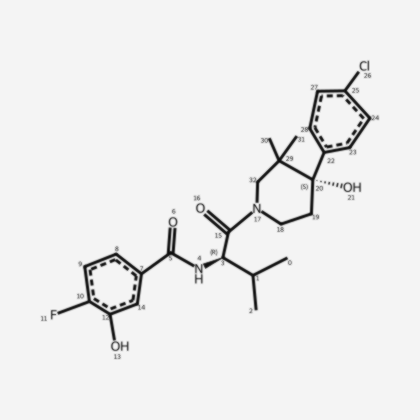 CC(C)[C@@H](NC(=O)c1ccc(F)c(O)c1)C(=O)N1CC[C@](O)(c2ccc(Cl)cc2)C(C)(C)C1